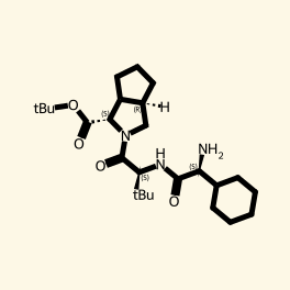 CC(C)(C)OC(=O)[C@@H]1C2CCC[C@H]2CN1C(=O)[C@@H](NC(=O)[C@@H](N)C1CCCCC1)C(C)(C)C